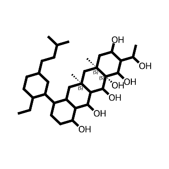 CCC1CCC(CCC(C)C)CC1C1CCC(O)C2C(O)C3C(O)[C@]4(O)C(O)C(C(C)O)C(O)C[C@]4(C)C[C@]3(C)CC12